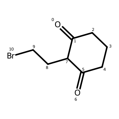 O=C1CCCC(=O)C1CCBr